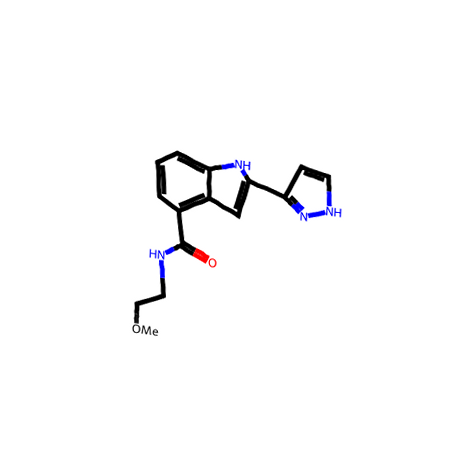 COCCNC(=O)c1cccc2[nH]c(-c3cc[nH]n3)cc12